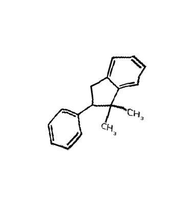 CC1(C)c2ccccc2CC1c1ccccc1